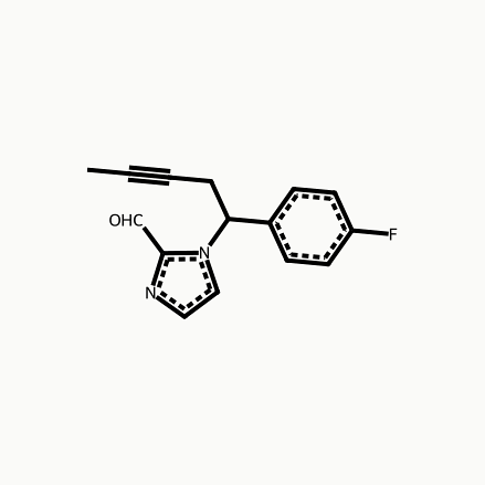 CC#CCC(c1ccc(F)cc1)n1ccnc1C=O